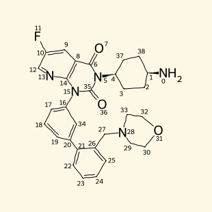 N[C@H]1CC[C@@H](n2c(=O)c3cc(F)cnc3n(-c3cccc(-c4ccccc4CN4CCOCC4)c3)c2=O)CC1